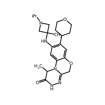 CC(C)N1CC(C)(Nc2cc3c(cc2C2CCOCC2)OCC2=NNC(=O)C(C)N23)C1